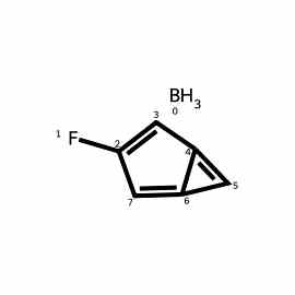 B.Fc1cc2cc-2c1